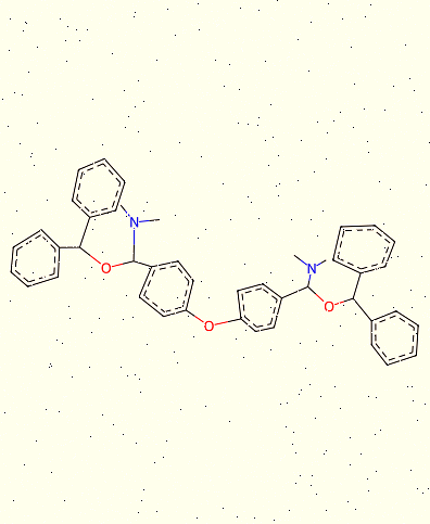 CN(C)C(OC(c1ccccc1)c1ccccc1)c1ccc(Oc2ccc(C(OC(c3ccccc3)c3ccccc3)N(C)C)cc2)cc1